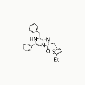 CCc1ccc(Cc2nc3c(Cc4ccccc4)[nH]c(-c4ccccc4)cn-3c2=O)s1